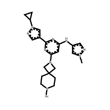 CC(=O)N1CCC2(CC1)CN(c1cc(Nc3cnn(C)c3)nc(-c3cnn(C4CC4)c3)n1)C2